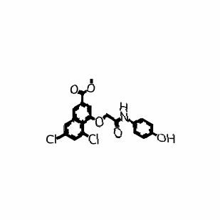 COC(=O)c1cc(OCC(=O)Nc2ccc(O)cc2)c2c(Cl)cc(Cl)cc2c1